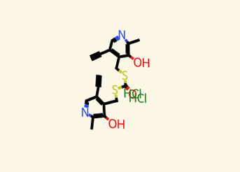 C#Cc1cnc(C)c(O)c1CSC(=O)SCc1c(C#C)cnc(C)c1O.Cl.Cl